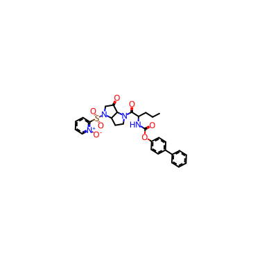 CCCC(NC(=O)Oc1ccc(-c2ccccc2)cc1)C(=O)N1CCC2C1C(=O)CN2S(=O)(=O)c1cccc[n+]1[O-]